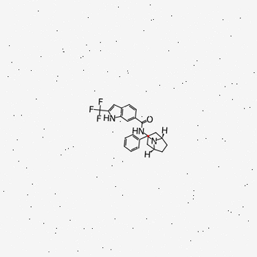 O=C(NC1C[C@H]2CC[C@@H](C1)N2Cc1ccccc1)c1ccc2cc(C(F)(F)F)[nH]c2c1